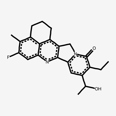 CCc1c(C(C)O)cc2n(c1=O)Cc1c-2nc2cc(F)c(C)c3c2c1CCC3